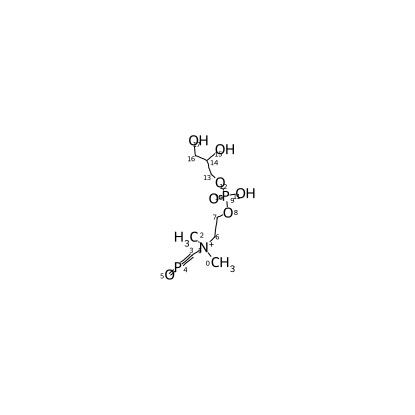 C[N+](C)(C#P=O)CCOP(=O)(O)OCC(O)CO